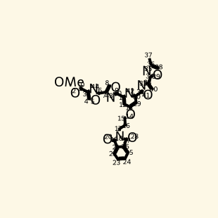 COC(=O)c1coc(-c2coc(-c3cc(OCCCN4C(=O)c5ccccc5C4=O)cc(-c4nc(-c5nc(C)co5)co4)n3)n2)n1